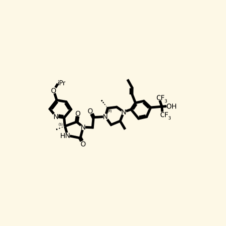 CC=Cc1cc(C(O)(C(F)(F)F)C(F)(F)F)ccc1N1C[C@@H](C)N(C(=O)CN2C(=O)N[C@@](C)(c3ccc(OC(C)C)cn3)C2=O)CC1C